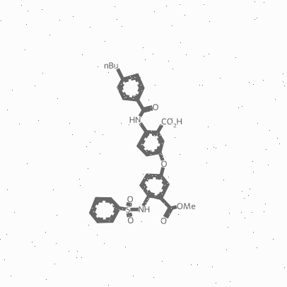 CCCCc1ccc(C(=O)Nc2ccc(Oc3ccc(NS(=O)(=O)c4ccccc4)c(C(=O)OC)c3)cc2C(=O)O)cc1